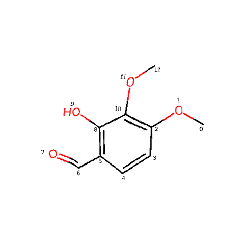 COc1ccc(C=O)c(O)c1OC